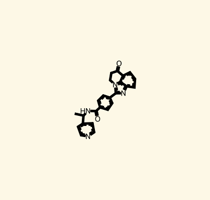 CC(NC(=O)c1ccc(-c2nc3cccc4c3n2CCC4=O)cc1)c1ccncc1